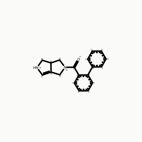 O=C(c1ccccc1-c1ccccc1)N1CC2=CNCC2C1